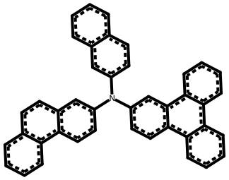 c1ccc2cc(N(c3ccc4c(ccc5ccccc54)c3)c3ccc4c5ccccc5c5ccccc5c4c3)ccc2c1